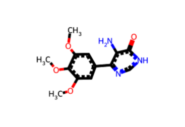 COc1cc(-c2nc[nH]c(=O)c2N)cc(OC)c1OC